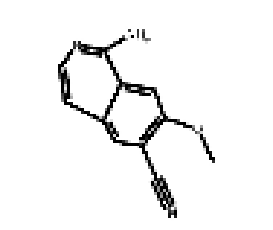 COc1cc2c(N)nccc2cc1C#N